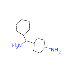 NC1CCC(C(N)C2CCCCC2)CC1